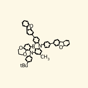 Cc1cc2c3c(c1)N(c1ccc(C(C)(C)C)cc1)c1c(ccc4c1OCCCO4)B3c1cc(-c3ccc4c(c3)oc3ccccc34)ccc1N2c1ccc(-c2ccc3c(c2)OC2C=CC=CC32)cc1